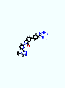 N/N=C(\N)c1ccc(-c2ccc3c(c2)C(=O)N(c2cccc(-c4nncn4C4CC4)n2)C3)cc1